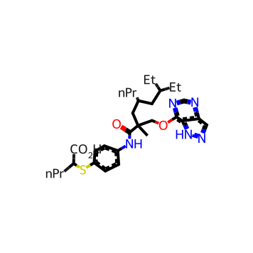 CCCC(CC(CC)CC)CC(C)(COc1ncnc2cn[nH]c12)C(=O)Nc1ccc(SC(CCC)C(=O)O)cc1